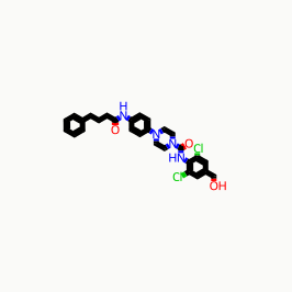 O=C(CCCc1ccccc1)Nc1ccc(N2CCN(C(=O)Nc3c(Cl)cc(CO)cc3Cl)CC2)cc1